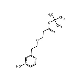 CC(C)(C)OC(=O)CCOCCc1cccc(O)c1